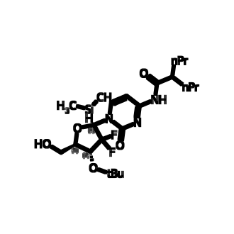 CCCC(CCC)C(=O)Nc1ccn([C@]2([SiH](C)C)O[C@H](CO)[C@@H](OC(C)(C)C)C2(F)F)c(=O)n1